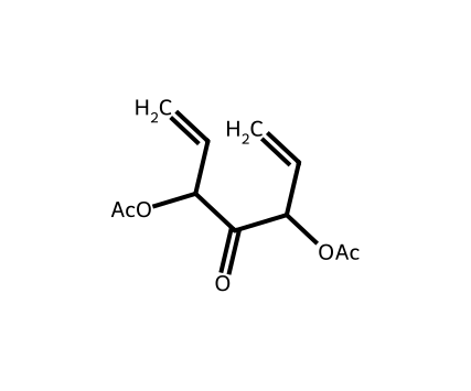 C=CC(OC(C)=O)C(=O)C(C=C)OC(C)=O